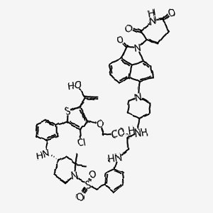 C=C(O)c1sc(-c2cccc(N[C@H]3CCN(S(=O)(=O)Cc4cccc(NCCNC5CCN(c6ccc7c8c(cccc68)C(=O)N7C6CCC(=O)NC6=O)CC5)c4)C(C)(C)C3)c2)c(Cl)c1OCC(=O)O